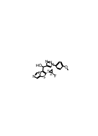 COc1ccc(-n2cc(C(O)c3c([C@@H]4C[C@H]4F)sc4cncn34)nn2)cc1